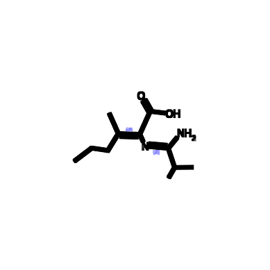 CCC/C(C)=C(\N=C(/N)C(C)C)C(=O)O